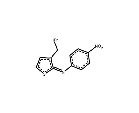 CC(C)Cn1ccsc1=Nc1ccc([N+](=O)[O-])cc1